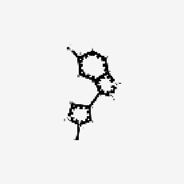 Cn1cc(-c2n[nH]c3ccc(Br)cc23)cn1